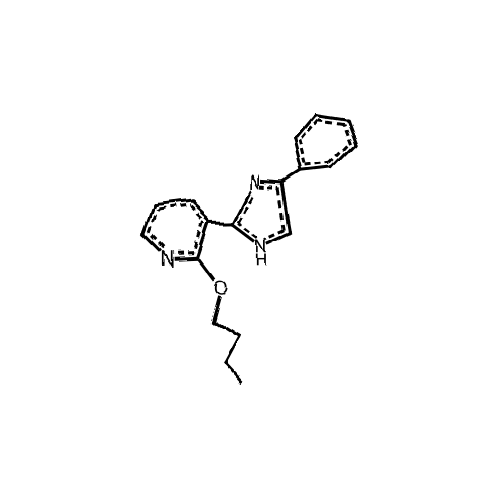 CCCCOc1ncccc1-c1nc(-c2ccccc2)c[nH]1